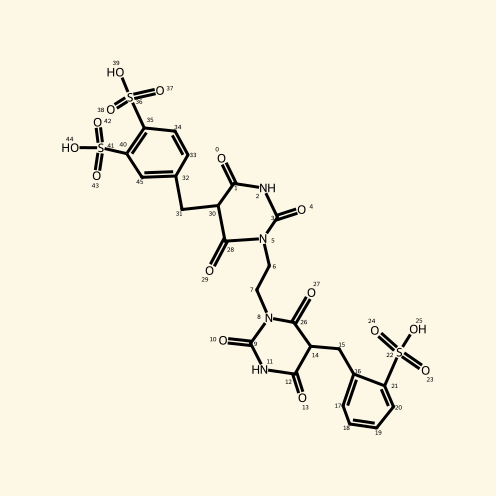 O=C1NC(=O)N(CCN2C(=O)NC(=O)C(Cc3ccccc3S(=O)(=O)O)C2=O)C(=O)C1Cc1ccc(S(=O)(=O)O)c(S(=O)(=O)O)c1